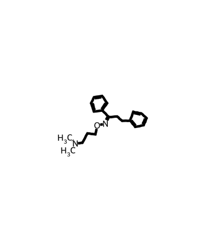 CN(C)CCCON=C(CCc1ccccc1)c1ccccc1